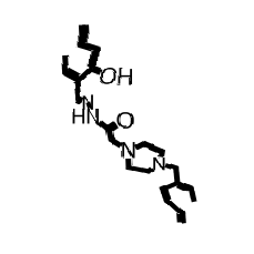 C=C/C=C\C(=C/C)CN1CCN(CC(=O)N/N=C/C(=C/C)C(/O)=C\C=C)CC1